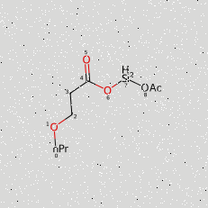 CCCOCCC(=O)O[SiH2]OC(C)=O